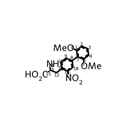 COc1cccc(OC)c1-c1ccc(C[C@H](N)C(=O)O)c([N+](=O)[O-])c1